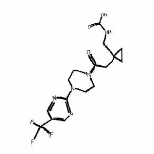 O=C(O)NCC1(CC(=O)N2CCN(c3ncc(C(F)(F)F)cn3)CC2)CC1